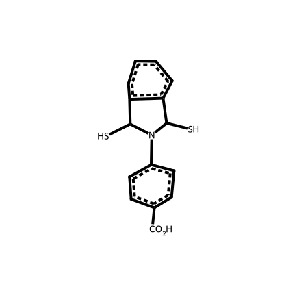 O=C(O)c1ccc(N2C(S)c3ccccc3C2S)cc1